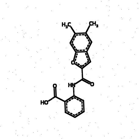 Cc1cc2cc(C(=O)Nc3ccccc3C(=O)O)oc2cc1C